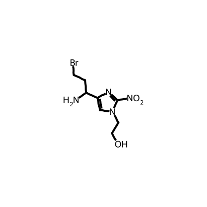 NC(CCBr)c1cn(CCO)c([N+](=O)[O-])n1